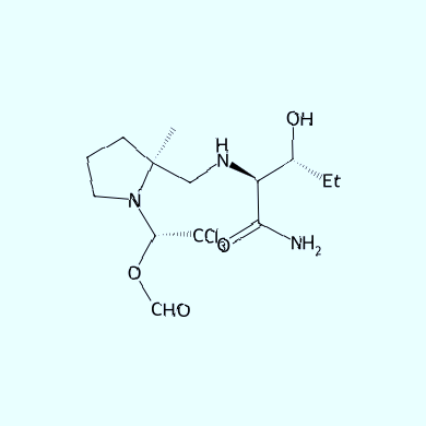 CC[C@@H](O)[C@H](NC[C@]1(C)CCCN1[C@@H](OC=O)C(Cl)(Cl)Cl)C(N)=O